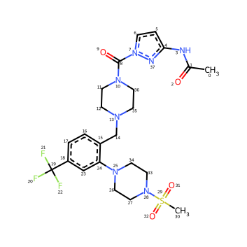 CC(=O)Nc1ccn(C(=O)N2CCN(Cc3ccc(C(F)(F)F)cc3N3CCN(S(C)(=O)=O)CC3)CC2)n1